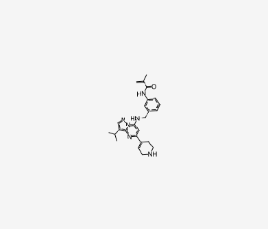 C=C(C)C(=O)Nc1cccc(CNc2cc(C3=CCNCC3)nc3c(C(C)C)cnn23)c1